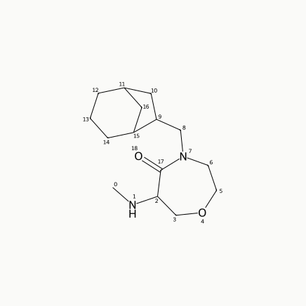 CNC1COCCN(CC2CC3CCCC2C3)C1=O